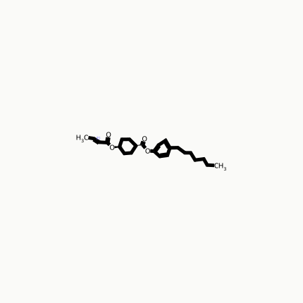 C/C=C/C(=O)O[C@H]1CC[C@H](C(=O)Oc2ccc(CCCCCCC)cc2)CC1